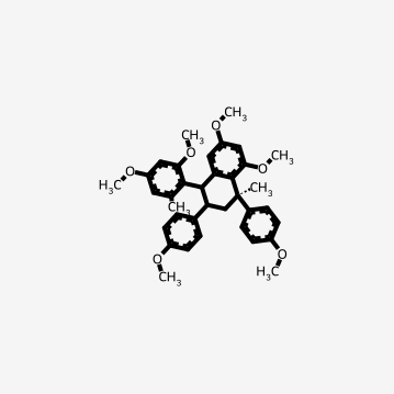 COc1ccc(C2C[C@](C)(c3ccc(OC)cc3)c3c(OC)cc(OC)cc3C2c2c(C)cc(OC)cc2OC)cc1